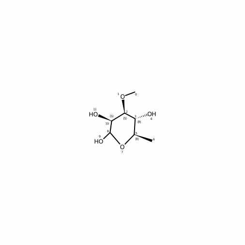 CO[C@H]1[C@H](O)[C@@H](C)OC(O)[C@H]1O